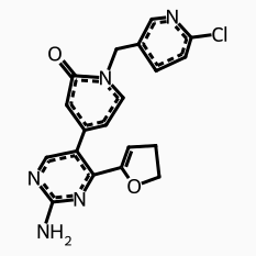 Nc1ncc(-c2ccn(Cc3ccc(Cl)nc3)c(=O)c2)c(C2=CCCO2)n1